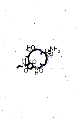 CCCNC1=C2CC(C)CC(OC)[C@@H](O)[C@H](C)/C=C(\C)[C@@H](OC(N)=O)[C@@H](OC)/C=C\C=C(/C)C(=O)NC(=CC1=O)C2=O